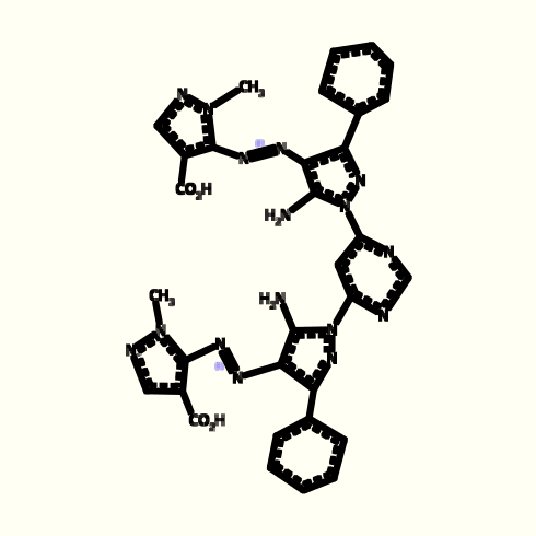 Cn1ncc(C(=O)O)c1/N=N/c1c(-c2ccccc2)nn(-c2cc(-n3nc(-c4ccccc4)c(/N=N/c4c(C(=O)O)cnn4C)c3N)ncn2)c1N